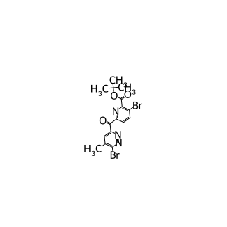 Cc1cc(C(=O)c2ccc(Br)c(C(=O)OC(C)(C)C)n2)nnc1Br